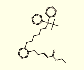 CCOC(=O)/C=C/CCc1ccccc1CCCCCO[Si](c1ccccc1)(c1ccccc1)C(C)(C)C